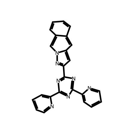 c1ccc(-c2nc(-c3ccccn3)nc(-c3cc4cc5ccccc5cn4n3)n2)nc1